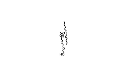 CC(=O)O.CCCCCCOCCCCCC.OCCOCCOCCO